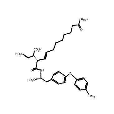 CCCCCCCC(=O)CCCCCC/C=C/[C@H](C(=O)N[C@@H](Cc1ccc(Oc2ccc(OC)cc2)cc1)C(=O)O)C(CC(=O)O)C(=O)O